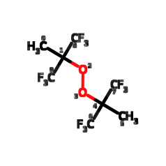 CC(OOC(C)(C(F)(F)F)C(F)(F)F)(C(F)(F)F)C(F)(F)F